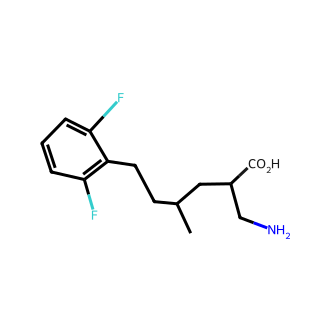 CC(CCc1c(F)cccc1F)CC(CN)C(=O)O